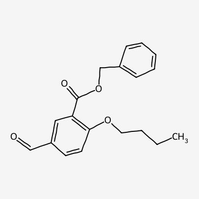 CCCCOc1ccc(C=O)cc1C(=O)OCc1ccccc1